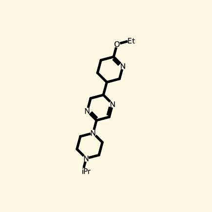 CCOC1=NCC(C2CN=C(N3CCN(C(C)C)CC3)C=N2)CC1